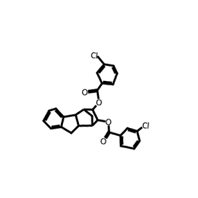 O=C(OC1C2CC(C1OC(=O)c1cccc(Cl)c1)C1c3ccccc3CC21)c1cccc(Cl)c1